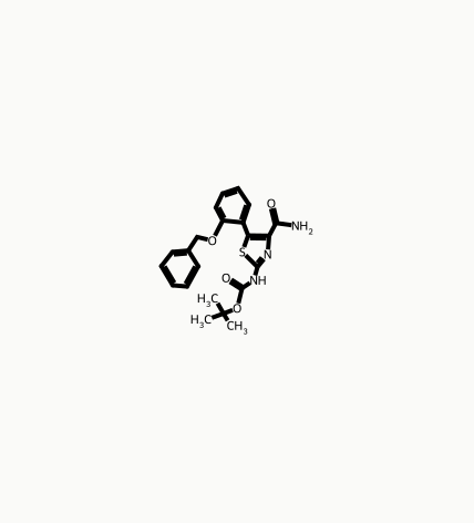 CC(C)(C)OC(=O)Nc1nc(C(N)=O)c(-c2ccccc2OCc2ccccc2)s1